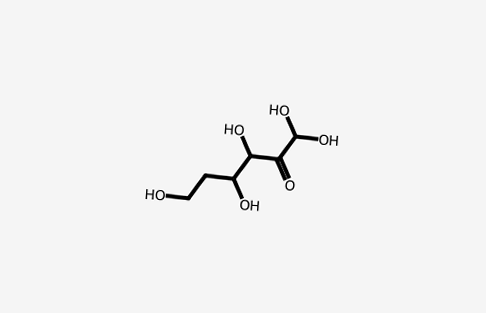 O=C(C(O)O)C(O)C(O)CCO